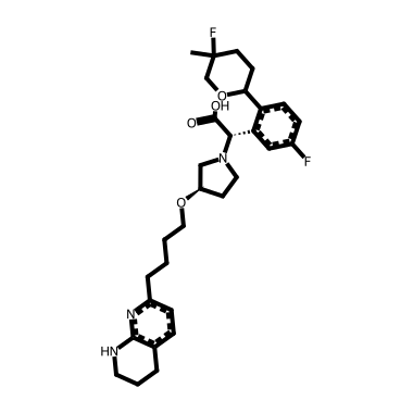 CC1(F)CCC(c2ccc(F)cc2[C@@H](C(=O)O)N2CC[C@@H](OCCCCc3ccc4c(n3)NCCC4)C2)OC1